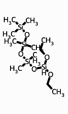 CCO[SiH](OCC)O[Si](C)(C)O[Si](C)(C)O[Si](C)(C)C